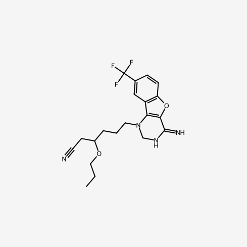 CCCOC(CC#N)CCCN1CNC(=N)c2oc3ccc(C(F)(F)F)cc3c21